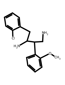 COc1ccccc1C(CN)C(N)Cc1ccccc1Cl